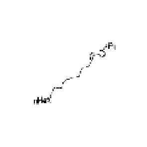 CCCCCCCCCCC[CH2][Ti][O]C(C)C